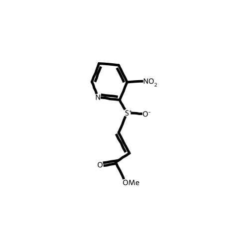 COC(=O)C=C[S+]([O-])c1ncccc1[N+](=O)[O-]